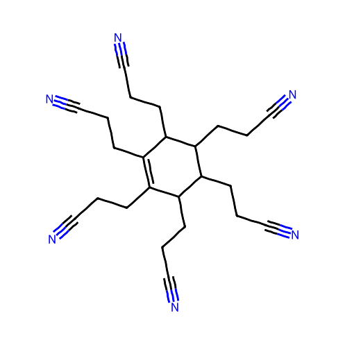 N#CCCC1=C(CCC#N)C(CCC#N)C(CCC#N)C(CCC#N)C1CCC#N